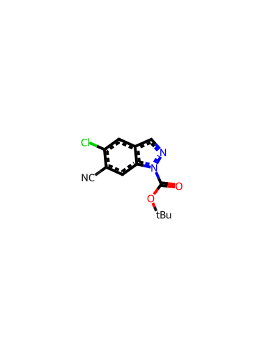 CC(C)(C)OC(=O)n1ncc2cc(Cl)c(C#N)cc21